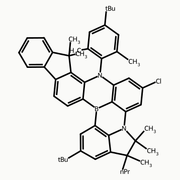 CCCC1(C)c2cc(C(C)(C)C)cc3c2N(c2cc(Cl)cc4c2B3c2ccc3c(c2N4c2c(C)cc(C(C)(C)C)cc2C)C(C)(C)c2ccccc2-3)C1(C)C